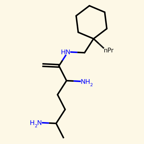 C=C(NCC1(CCC)CCCCC1)C(N)CCC(C)N